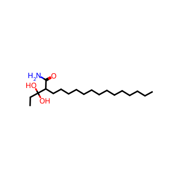 CCCCCCCCCCCCCCC(C(N)=O)C(O)(O)CC